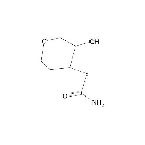 NC(=O)CC1CCOCC1O